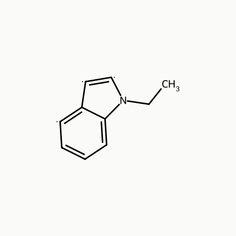 CCn1[c][c]c2[c]cccc21